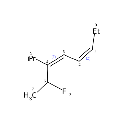 CC/C=C\C=C(\C(C)C)C(C)F